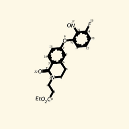 CCOC(=O)CCN1CCc2cc(Oc3cccc(F)c3N=O)ccc2C1=O